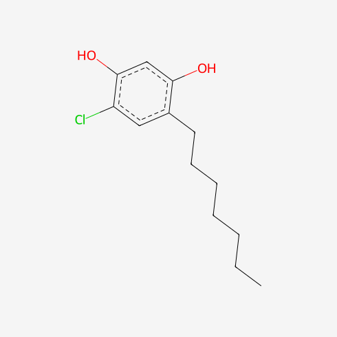 CCCCCCCc1cc(Cl)c(O)cc1O